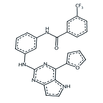 O=C(Nc1cccc(Nc2nc(-c3ccco3)c3[nH]ccc3n2)c1)c1cccc(C(F)(F)F)c1